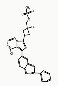 CS(=O)(=O)OCC1(O)CC(c2nc(-c3ccc4ccc(-c5ccccc5)nc4c3)c3c(Cl)nccn23)C1